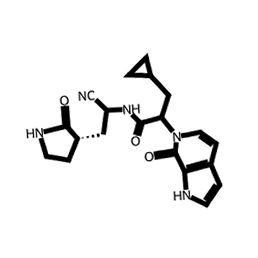 N#CC(C[C@@H]1CCNC1=O)NC(=O)C(CC1CC1)n1ccc2cc[nH]c2c1=O